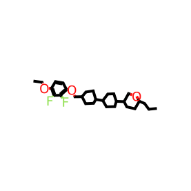 CCCC1CCC(C2CCC(C3CCC(COc4ccc(OCC)c(F)c4F)CC3)CC2)CO1